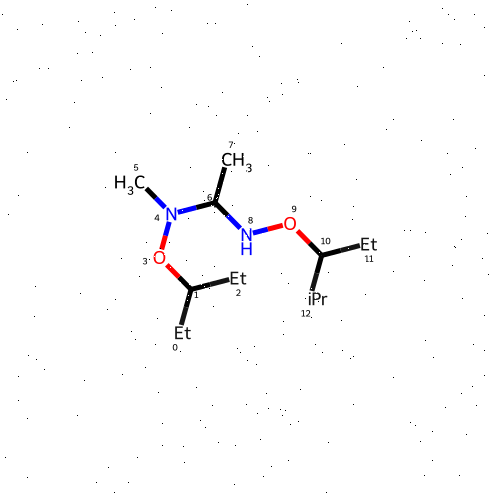 CCC(CC)ON(C)[C](C)NOC(CC)C(C)C